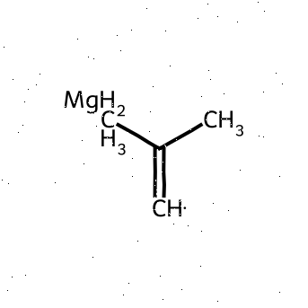 [CH]=C(C)C.[MgH2]